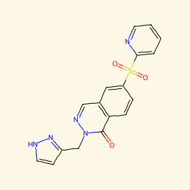 O=c1c2ccc(S(=O)(=O)c3ccccn3)cc2cnn1Cc1cc[nH]n1